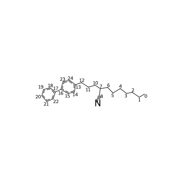 CCCCCCCC(C#N)CCCc1ccc(-c2ccccc2)cc1